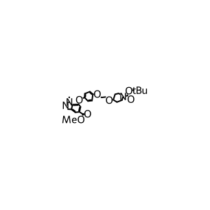 COC(=O)c1cc(Oc2ccc(OCCOC3CCN(C(=O)OC(C)(C)C)CC3)cc2)c2c(cnn2C)c1